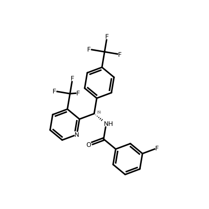 O=C(N[C@@H](c1ccc(C(F)(F)F)cc1)c1ncccc1C(F)(F)F)c1cccc(F)c1